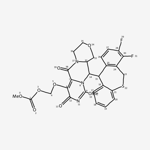 COC(=O)OCOc1c2n(c(OC)nc1=O)C(C1c3ccccc3SCc3c1ccc(F)c3F)C1COCCN1C2=O